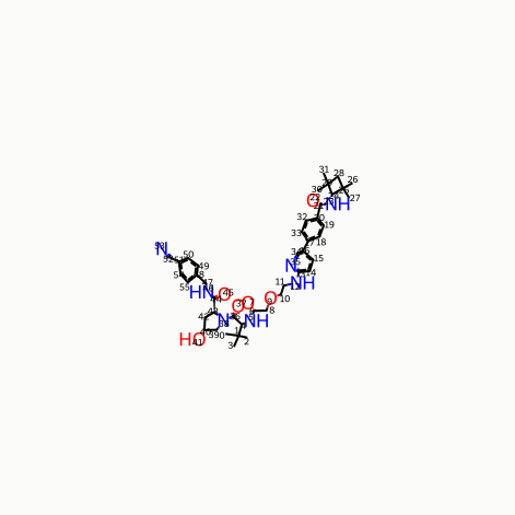 CC(C)(C)C(NC(=O)COCCNc1ccc(-c2ccc(C(=O)NC3C(C)(C)CC3(C)C)cc2)cn1)C(=O)N1C[C@H](O)C[C@H]1C(=O)NCc1ccc(C#N)cc1